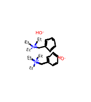 CC[N+](CC)(CC)Cc1ccccc1.CC[N+](CC)(CC)Cc1ccccc1.[OH-].[OH-]